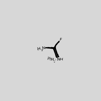 N=C(N)F.[PbH2]